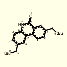 CC(C)(C)Cc1ccc2c(c1)c(=O)[nH]c1ccc(CC(C)(C)C)cc12